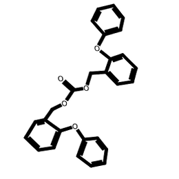 O=C(OCc1ccccc1Oc1ccccc1)OCc1ccccc1Oc1ccccc1